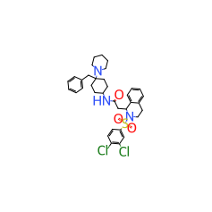 O=C(CC1c2ccccc2CCN1S(=O)(=O)c1ccc(Cl)c(Cl)c1)NC1CCC(Cc2ccccc2)(N2CCCCC2)CC1